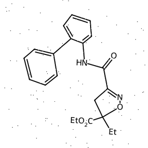 CCOC(=O)C1(CC)CC(C(=O)Nc2ccccc2-c2ccccc2)=NO1